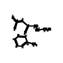 CCOC(=O)NNC(=O)N=S(=O)=O.Cc1ccccc1